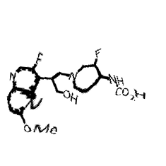 COc1ccc2ncc(F)c(C(CO)CN3CCC(NC(=O)O)C(F)C3)c2n1